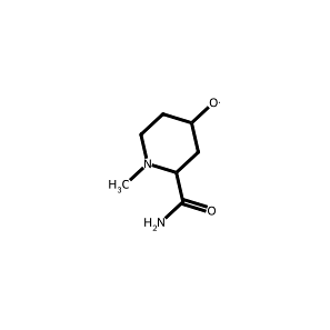 CN1CCC([O])CC1C(N)=O